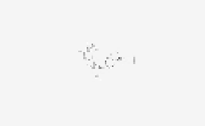 COC1CCN(Cc2c(C)cc(C)c3[nH]ccc23)C(c2ccc(C(O)=S)cc2)C1